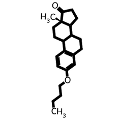 CCCCOc1ccc2c(c1)CCC1C2CC[C@]2(C)C(=O)CCC12